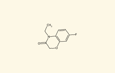 CCN1C(=O)COc2cc(F)ccc21